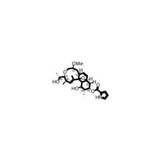 CO[C@@H]1CO[C@@H]([C@@H](C)O)[C@H](C)/C=C(\C)C23O[C@H]4[C@H](OC(=O)c5ccc[nH]5)[C@H](C)[C@@H](O)C2[C@H]4C=C[C@@H]3C1